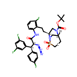 CC(C)(C)OC(=O)N1C[C@H](CCc2c(F)cccc2NC(=O)[C@@H](N=[N+]=[N-])[C@@H](c2ccc(F)cc2)c2cc(F)cc(F)c2)N2C[C@H]1CCCS2(=O)=O